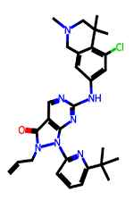 C=CCn1c(=O)c2cnc(Nc3cc(Cl)c4c(c3)CN(C)CC4(C)C)nc2n1-c1cccc(C(C)(C)C)n1